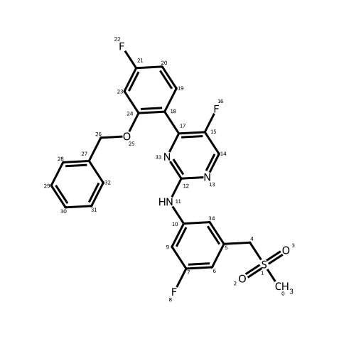 CS(=O)(=O)Cc1cc(F)cc(Nc2ncc(F)c(-c3ccc(F)cc3OCc3ccccc3)n2)c1